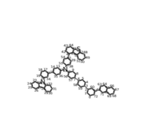 c1cc(-c2ccc(-c3ccc(N(c4ccc(-c5cccc(-n6c7ccccc7c7ccccc76)c5)cc4)c4ccc(-c5cccc6sc7ccccc7c56)cc4)cc3)cc2)cc(-c2ccc3ccccc3c2)c1